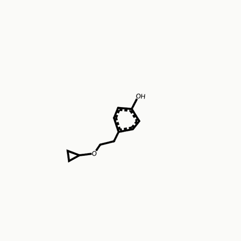 Oc1ccc(CCOC2CC2)cc1